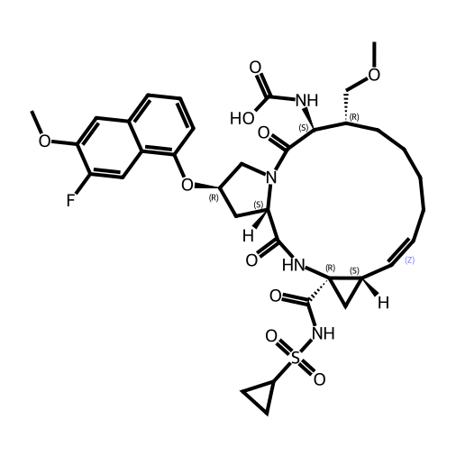 COC[C@@H]1CCCC/C=C\[C@@H]2C[C@@]2(C(=O)NS(=O)(=O)C2CC2)NC(=O)[C@@H]2C[C@@H](Oc3cccc4cc(OC)c(F)cc34)CN2C(=O)[C@H]1NC(=O)O